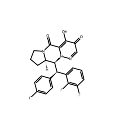 O=C1c2c(O)c(=O)cnn2[C@@H]([C@H](c2ccc(F)cc2)c2cccc(F)c2F)[C@H]2CCCN12